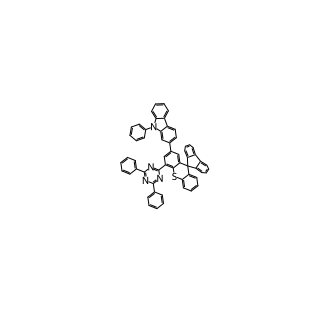 c1ccc(-c2nc(-c3ccccc3)nc(-c3cc(-c4ccc5c6ccccc6n(-c6ccccc6)c5c4)cc4c3Sc3ccccc3C43c4ccccc4-c4ccccc43)n2)cc1